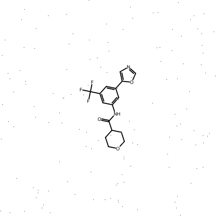 O=C(Nc1cc(-c2cnco2)cc(C(F)(F)F)c1)C1CCOCC1